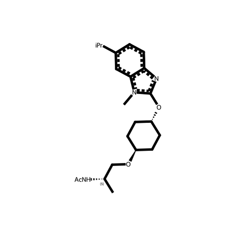 CC(=O)N[C@@H](C)CO[C@H]1CC[C@H](Oc2nc3ccc(C(C)C)cc3n2C)CC1